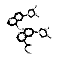 CC(C)(C)OC(=O)c1ccnc2ccc(N3C[C@H](F)[C@@H](F)C3)cc12.O=C(O)c1ccnc2ccc(N3C[C@H](F)[C@@H](F)C3)cc12